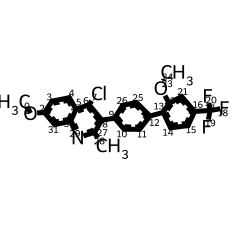 COc1ccc2c(Cl)c(-c3ccc(-c4ccc(C(F)(F)F)cc4OC)cc3)c(C)nc2c1